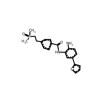 CP(C)(=O)CCc1ccc(C(=O)Nc2cc(-c3cccs3)ccc2N)cc1